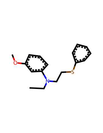 CCN(CCSc1ccccc1)c1cccc(OC)c1